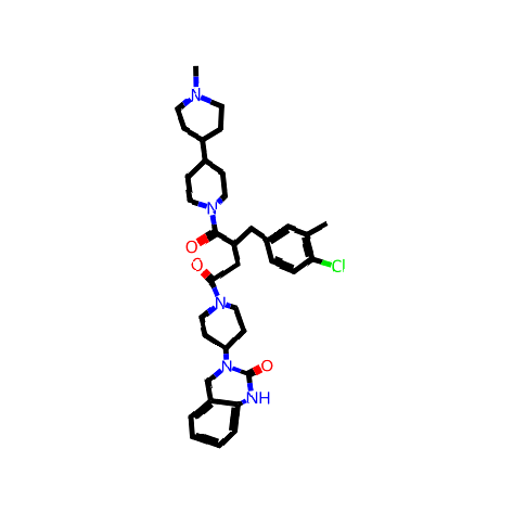 Cc1cc(CC(CC(=O)N2CCC(N3Cc4ccccc4NC3=O)CC2)C(=O)N2CCC(C3CCN(C)CC3)CC2)ccc1Cl